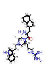 C[C@@H]1CN(C(=O)[C@H](N)Cc2ccc3ccccc3c2)[C@@H](CCCNC(=N)N)CN1CCc1c[nH]c2ccccc12